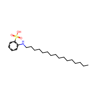 CCCCCCCCCCCCCCCCNc1ccccc1S(=O)(=O)O